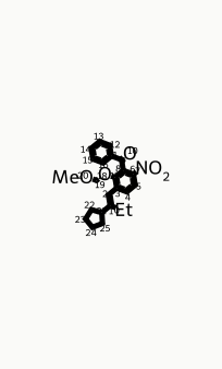 CC/C(=C\c1ccc([N+](=O)[O-])c(C(=O)c2ccccc2)c1OCOC)C1CCCC1